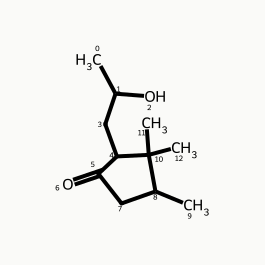 CC(O)CC1C(=O)CC(C)C1(C)C